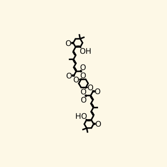 CC(/C=C/C1=C(O)CC(C)(C)CC1=O)=C\C=C1C(=O)OC2(CCC3(CC2)OC(=O)C(=C/C=C(C)/C=C/C2=C(O)CC(C)(C)CC2=O)C(=O)O3)OC1=O